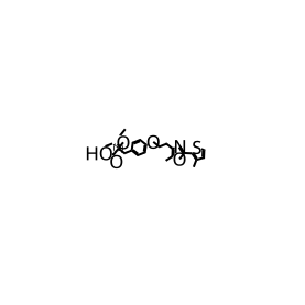 CCO[C@@](CC)(Cc1ccc(OCCc2nc(-c3sccc3C)oc2C)cc1)C(=O)O